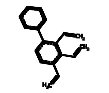 C=Cc1ccc(-c2ccccc2)c(C=C)c1C=C